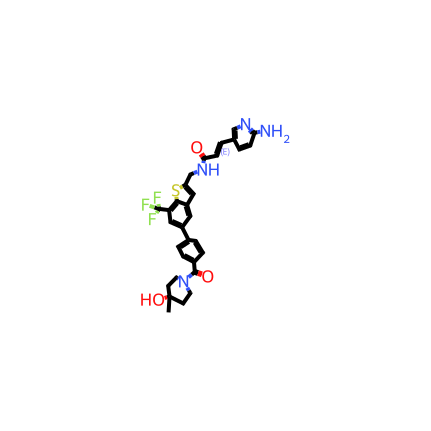 CC1(O)CCN(C(=O)c2ccc(-c3cc(C(F)(F)F)c4sc(CNC(=O)/C=C/c5ccc(N)nc5)cc4c3)cc2)CC1